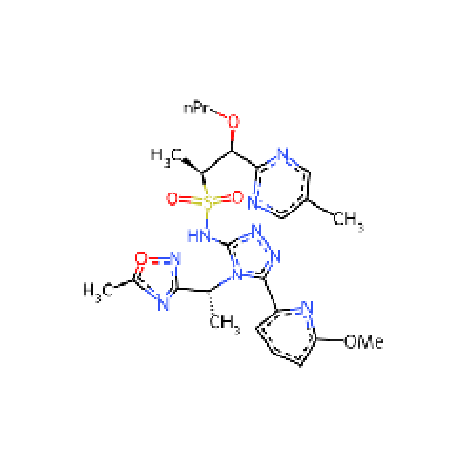 CCCO[C@@H](c1ncc(C)cn1)[C@H](C)S(=O)(=O)Nc1nnc(-c2cccc(OC)n2)n1[C@H](C)c1noc(C)n1